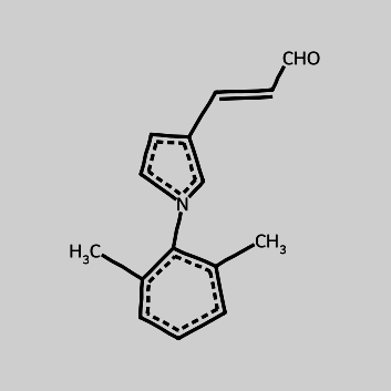 Cc1cccc(C)c1-n1ccc(C=CC=O)c1